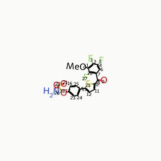 COc1c(F)c(F)cc(C(=O)c2ccc(-c3ccc(OS(N)(=O)=O)cc3)s2)c1F